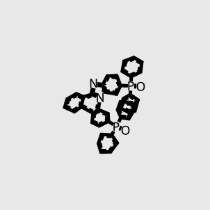 O=P(c1ccccc1)(c1ccccc1)c1ccc2nc3c4ccccc4c4ccc(P(=O)(c5ccccc5)c5ccccc5)cc4n3c2c1